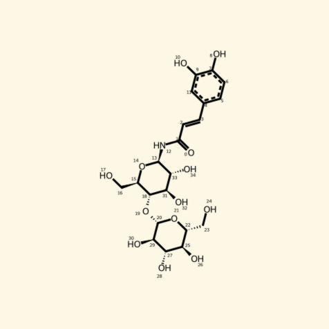 O=C(/C=C/c1ccc(O)c(O)c1)N[C@@H]1O[C@H](CO)[C@@H](O[C@@H]2O[C@H](CO)[C@@H](O)[C@H](O)[C@H]2O)[C@H](O)[C@H]1O